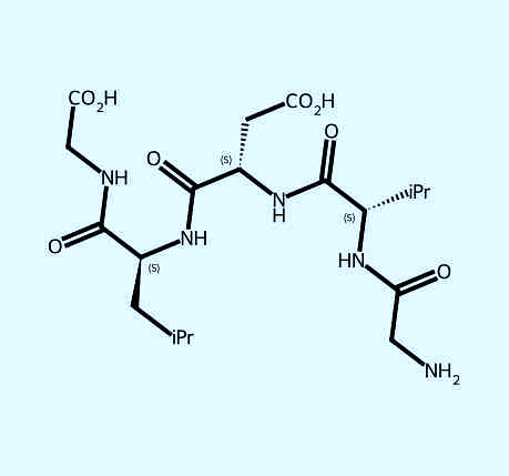 CC(C)C[C@H](NC(=O)[C@H](CC(=O)O)NC(=O)[C@@H](NC(=O)CN)C(C)C)C(=O)NCC(=O)O